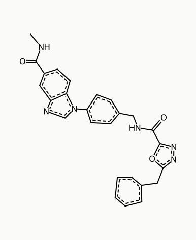 CNC(=O)c1ccc2c(c1)ncn2-c1ccc(CNC(=O)c2nnc(Cc3ccccc3)o2)cc1